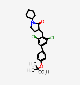 CC(C)(Oc1ccc(-c2cc(Cl)c(CC3CCN(C4CCCCC4)C3=O)c(Cl)c2)cc1)C(=O)O